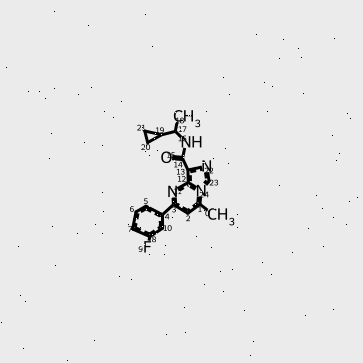 Cc1cc(-c2cccc(F)c2)nc2c(C(=O)NC(C)C3CC3)ncn12